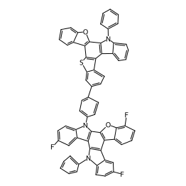 Fc1ccc2c(c1)c1c(c3oc4c(F)cccc4c3c3c4cc(F)ccc4n(-c4ccccc4)c31)n2-c1ccc(-c2ccc3c(c2)sc2c4c5ccccc5oc4c4c(c5ccccc5n4-c4ccccc4)c32)cc1